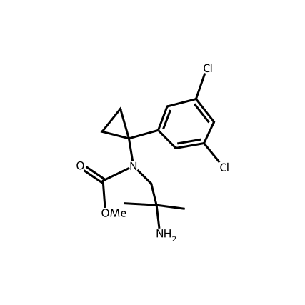 COC(=O)N(CC(C)(C)N)C1(c2cc(Cl)cc(Cl)c2)CC1